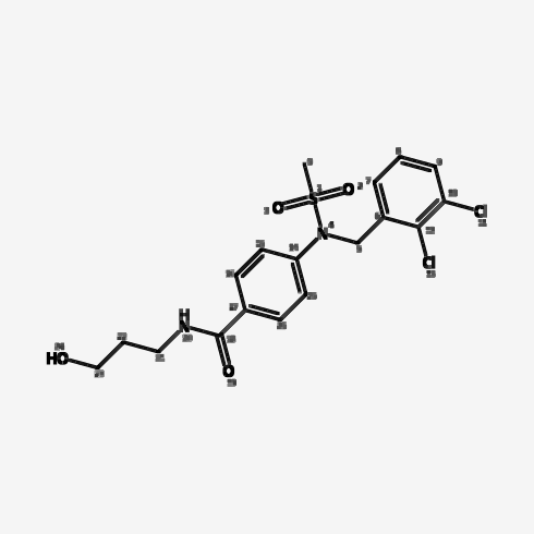 CS(=O)(=O)N(Cc1cccc(Cl)c1Cl)c1ccc(C(=O)NCCCO)cc1